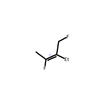 CC/C(CF)=C(/C)F